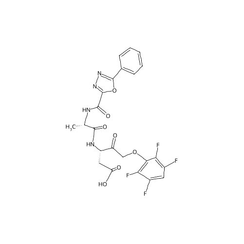 C[C@H](NC(=O)c1nnc(-c2ccccc2)o1)C(=O)N[C@@H](CC(=O)O)C(=O)COc1c(F)c(F)cc(F)c1F